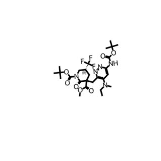 CCN(C)c1cc(NC(=O)OC(C)(C)C)nnc1CC1(C(=O)OC)C[C@@H](C(F)(F)F)CN(C(=O)OC(C)(C)C)C1=O